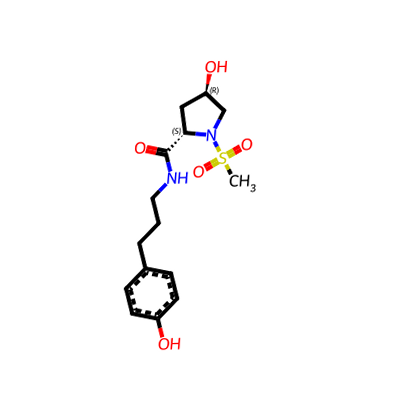 CS(=O)(=O)N1C[C@H](O)C[C@H]1C(=O)NCCCc1ccc(O)cc1